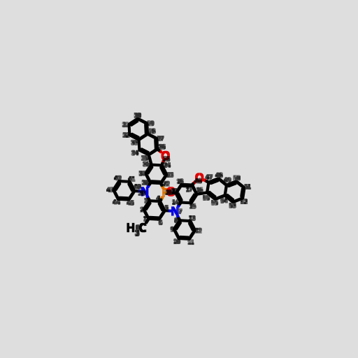 Cc1cc2c3c(c1)N(c1ccccc1)c1cc4c(cc1P3(=O)c1cc3oc5cc6ccccc6cc5c3cc1N2c1ccccc1)oc1cc2ccccc2cc14